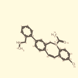 CNCc1ccccc1-c1ccc2c(c1)CN(C(C)=O)c1ccc(Cl)cc1C=C2